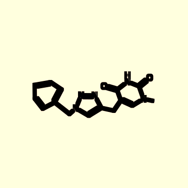 Cn1cc(Cc2cn(Cc3ccccc3)nn2)c(=O)[nH]c1=O